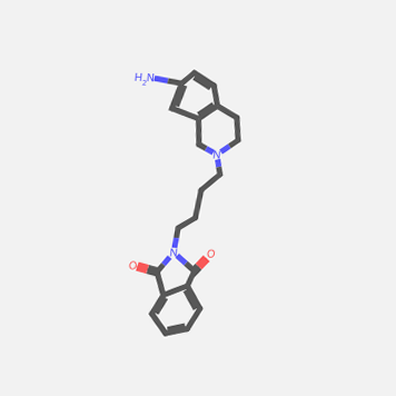 Nc1ccc2c(c1)CN(CCCCN1C(=O)c3ccccc3C1=O)CC2